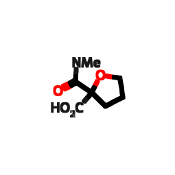 CNC(=O)C1(C(=O)O)CCCO1